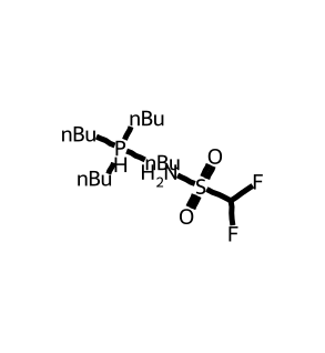 CCCC[PH](CCCC)(CCCC)CCCC.NS(=O)(=O)C(F)F